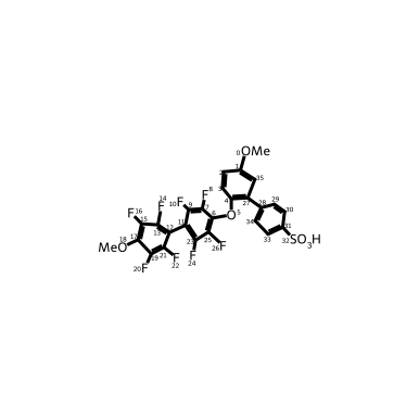 COc1ccc(Oc2c(F)c(F)c(-c3c(F)c(F)c(OC)c(F)c3F)c(F)c2F)c(-c2ccc(S(=O)(=O)O)cc2)c1